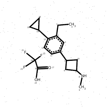 CCc1cc(C2CC(NC)C2)ccc1C1CC1.O=C(O)C(F)(F)F